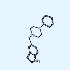 c1ccc(N2CCN(Cc3ccc4[nH]ccc4c3)CC2)cc1